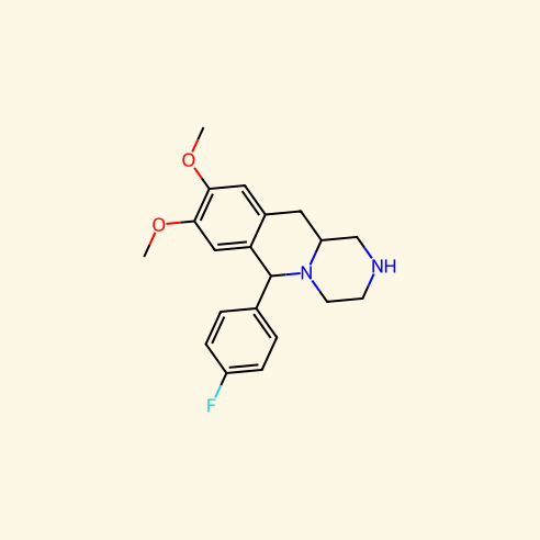 COc1cc2c(cc1OC)C(c1ccc(F)cc1)N1CCNCC1C2